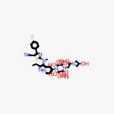 CCc1nn2cc(F)c(N3C(O)(O)C(O)(O)N(CC(=O)N4CC(O)C4)C(O)(O)C3(O)O)cc2c1N(C)c1nc(-c2ccc(F)cc2)c(C#N)s1